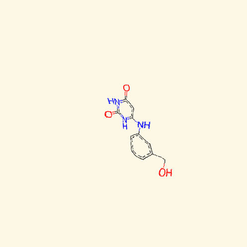 O=c1cc(Nc2cccc(CO)c2)[nH]c(=O)[nH]1